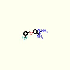 Nc1nc(N)c2c(n1)CCC(OCc1cccc(C(F)(F)F)c1)C2